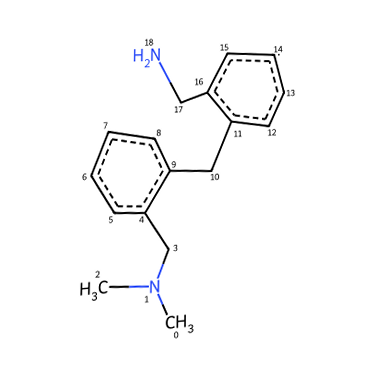 CN(C)Cc1ccccc1Cc1cc[c]cc1CN